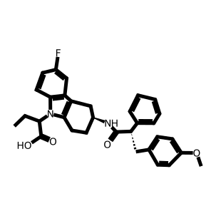 CCC(C(=O)O)n1c2c(c3cc(F)ccc31)C[C@@H](NC(=O)[C@@H](Cc1ccc(OC)cc1)c1ccccc1)CC2